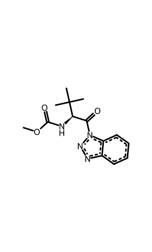 COC(=O)N[C@H](C(=O)n1nnc2ccccc21)C(C)(C)C